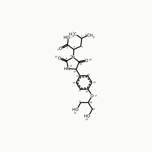 CC(C)CC(C(=O)O)N1C(=O)NC(c2ccc(OC(CO)CO)cc2)C1=O